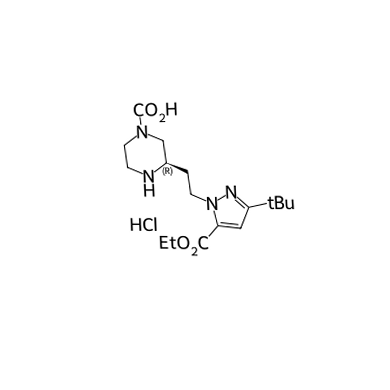 CCOC(=O)c1cc(C(C)(C)C)nn1CC[C@@H]1CN(C(=O)O)CCN1.Cl